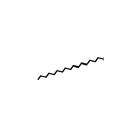 CCCCCCCCCC=CC=CCCCI